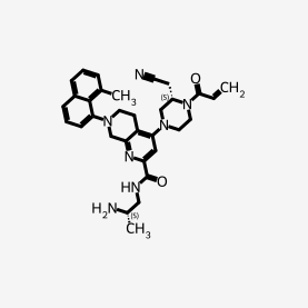 C=CC(=O)N1CCN(c2cc(C(=O)NC[C@H](C)N)nc3c2CCN(c2cccc4cccc(C)c24)C3)C[C@@H]1CC#N